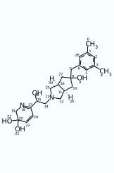 Cc1cc(C)cc(CC2(O)C[C@H]3CN(CC(O)C4=NCC(O)(O)C=C4)C[C@H]3C2)c1